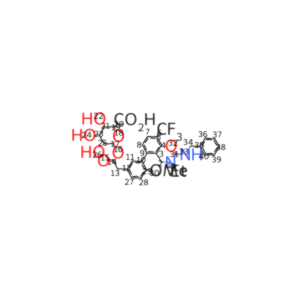 CCN(Cc1cc(C(F)(F)F)ccc1-c1cc(CC(=O)OC2OC(C(=O)O)C(O)C(O)C2O)ccc1OC)C(=O)NCc1ccccc1